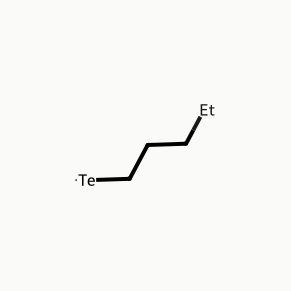 CCCCC[Te]